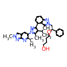 Cc1nc2nn(C)cc2cc1-n1nc(-c2cccc3nn(C[C@H](OCCCCO)c4ccccc4)cc23)c(C(C)C)c1C